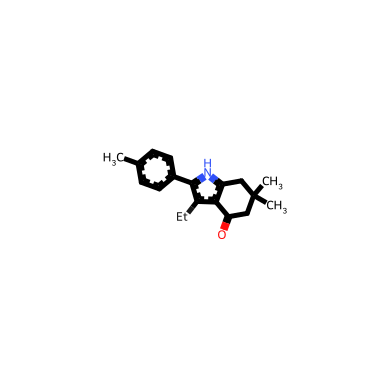 CCc1c(-c2ccc(C)cc2)[nH]c2c1C(=O)CC(C)(C)C2